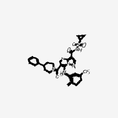 Cc1ccc(C(F)(F)F)cc1Nc1c(C(=O)N2CCC(c3ccccc3)CC2)cnc2c(C(=O)NS(=O)(=O)C3CC3)cnn12